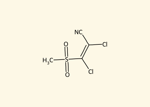 CS(=O)(=O)/C(Cl)=C(/Cl)C#N